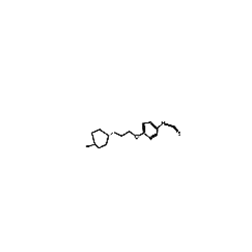 C[C@H]1CC[C@H](CCCOc2ccc(N=C=S)cc2)CC1